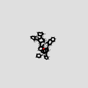 c1ccc(-n2c3ccccc3c3cc(-c4cc5ccccc5cc4-n4c5cc6c7ccccc7n7c8ccccc8c(c5c5ccc8ccccc8c54)c67)ccc32)cc1